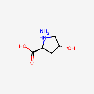 N.O=C(O)[C@@H]1C[C@@H](O)CN1